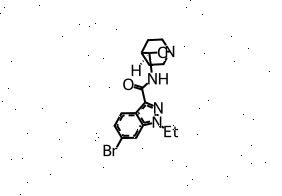 CCn1nc(C(=O)N[C@@H]2CN3CCC2CC3)c2ccc(Br)cc21